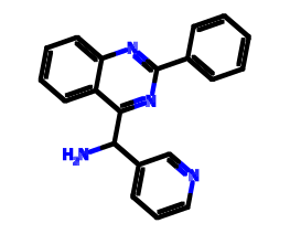 NC(c1cccnc1)c1nc(-c2ccccc2)nc2ccccc12